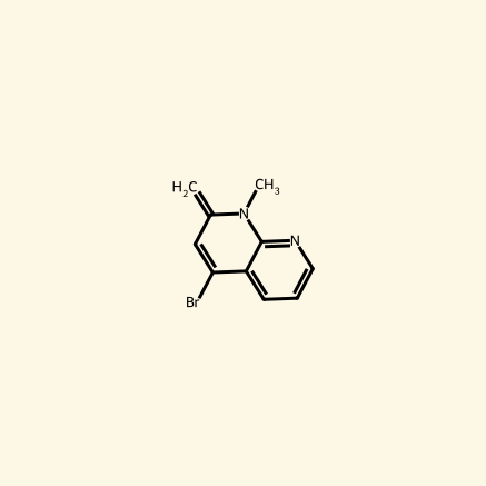 C=C1C=C(Br)c2cccnc2N1C